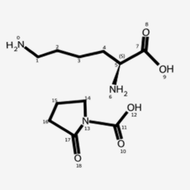 NCCCC[C@H](N)C(=O)O.O=C(O)N1CCCC1=O